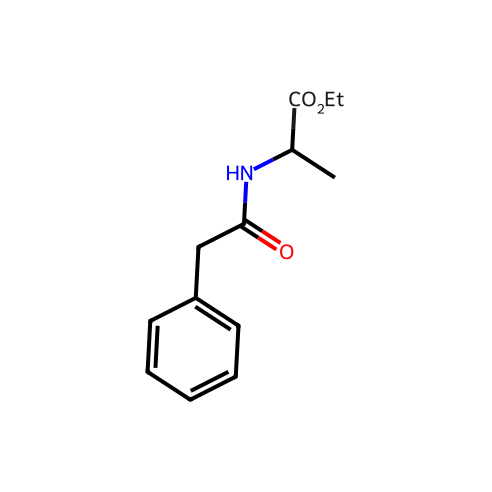 CCOC(=O)C(C)NC(=O)Cc1ccccc1